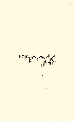 CC1(C)C/C(=C/CCNC(=O)O)C(=O)N1